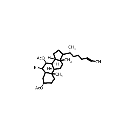 CC[C@@H]1C2C[C@H](OC(C)=O)CCC2(C)[C@H]2CCC3(C)C([C@H](C)CCC/C=C/C#N)CC[C@H]3[C@@H]2[C@@H]1OC(C)=O